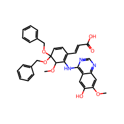 COc1cc2ncnc(NC3=C(/C=C/C(=O)O)C=CC(OCc4ccccc4)(OCc4ccccc4)C3OC)c2cc1O